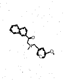 COc1cccc(CN(C)CC(=O)c2ccc3ccccc3c2)c1